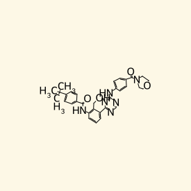 CC(C)(C)c1ccc(C(=O)Nc2cccc(-c3ncnc(Nc4ccc(C(=O)N5CCOCC5)cc4)n3)c2CO)cc1